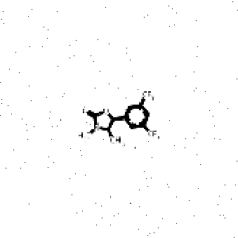 CC1C(c2cc(C(F)(F)F)cc(C(F)(F)F)c2)OC(=O)N1C